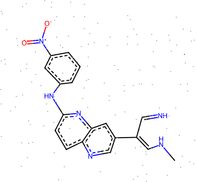 CN/C=C(\C=N)c1cnc2ccc(Nc3cccc([N+](=O)[O-])c3)nc2c1